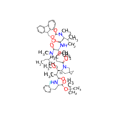 CCC(C)C(C(CC(=O)N1CC2(CC2)C[C@H]1C(OC)C(C)C(=O)NC(Cc1ccccc1F)C(=O)OC(C)(C)C)OC)N(C)C(=O)C(NC(=O)C(C(C)C)N(C)C(=O)OCC1c2ccccc2-c2ccccc21)C(C)C